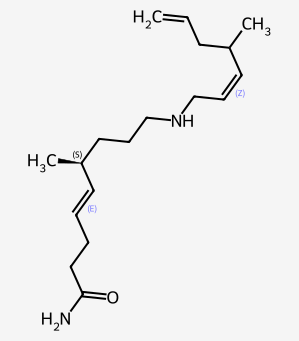 C=CCC(C)/C=C\CNCCC[C@H](C)/C=C/CCC(N)=O